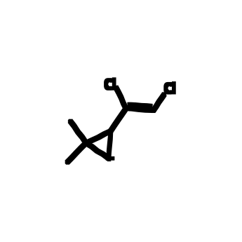 CC1(C)[CH]C1C(Cl)=CCl